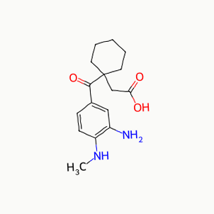 CNc1ccc(C(=O)C2(CC(=O)O)CCCCC2)cc1N